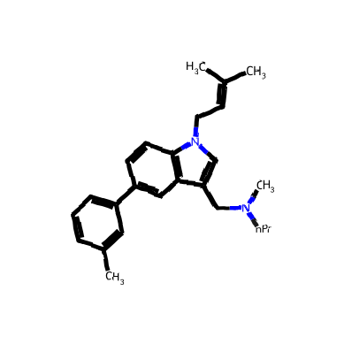 CCCN(C)Cc1cn(CC=C(C)C)c2ccc(-c3cccc(C)c3)cc12